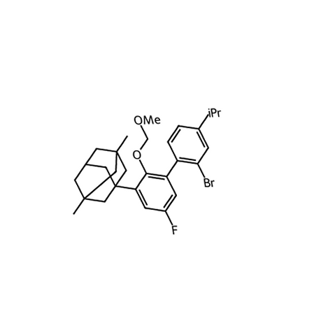 COCOc1c(-c2ccc(C(C)C)cc2Br)cc(F)cc1C12CC3CC(C)(CC(C)(C3)C1)C2